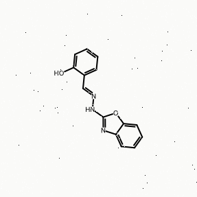 Oc1ccccc1C=NNc1nc2ccccc2o1